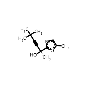 Cc1cnc([C@@](C)(O)C#CC(C)(C)C)o1